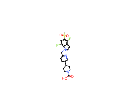 CS(=O)(=O)c1cc(F)c2c(ccn2Cc2ccc(C3CCN(C(=O)O)CC3)cn2)c1F